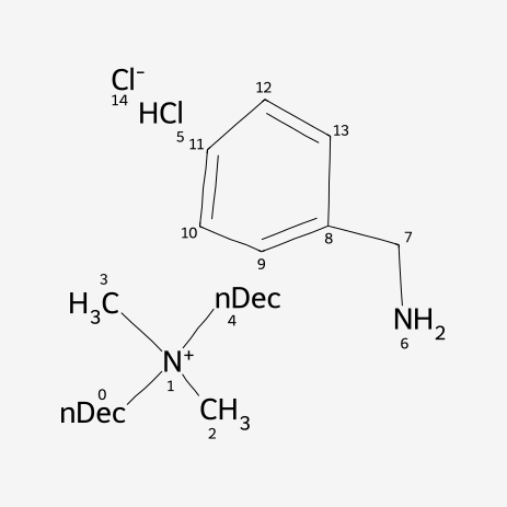 CCCCCCCCCC[N+](C)(C)CCCCCCCCCC.Cl.NCc1ccccc1.[Cl-]